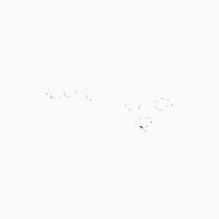 Cn1cc(-c2ccno2)c(C(=O)N2CCC3(CC2)CC3CNC(=O)c2cc3ccncc3o2)n1